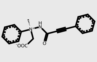 C[N@@+](CC(=O)[O-])(NC(=O)C#Cc1ccccc1)c1ccccc1